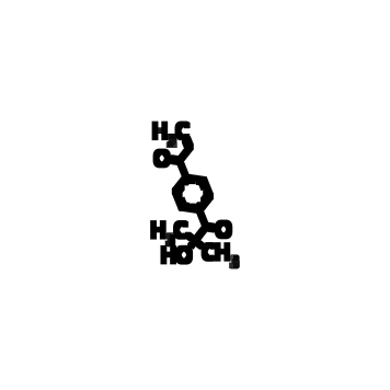 C=CC(=O)c1ccc(C(=O)C(C)(C)O)cc1